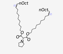 CCCCCCCC/C=C\CCCCCCCCOC(=O)C(C(=O)OCCCCCCCC/C=C\CCCCCCCC)N1CCCC1